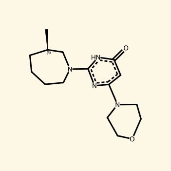 C[C@@H]1CCCCN(c2nc(N3CCOCC3)cc(=O)[nH]2)C1